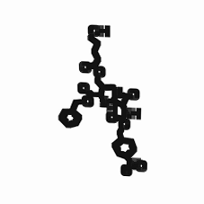 O=C(CCCCO)OCC1=CN2C(=O)C(NC(=O)OCc3ccc([N+](=O)[O-])cc3)[C@H]2SC1C(=O)OCc1ccccc1